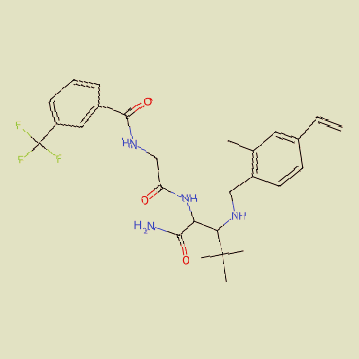 C=Cc1ccc(CNC(C(NC(=O)CNC(=O)c2cccc(C(F)(F)F)c2)C(N)=O)C(C)(C)C)c(C)c1